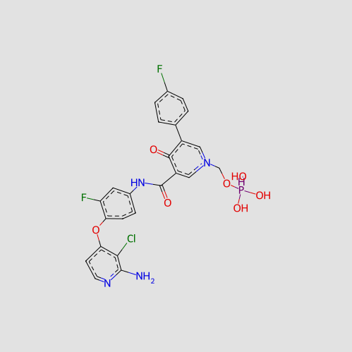 Nc1nccc(Oc2ccc(NC(=O)c3cn(CO[PH](O)(O)O)cc(-c4ccc(F)cc4)c3=O)cc2F)c1Cl